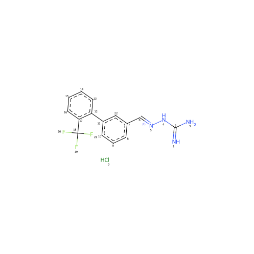 Cl.N=C(N)N/N=C/c1cccc(-c2ccccc2C(F)(F)F)c1